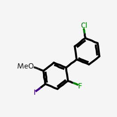 COc1cc(-c2cccc(Cl)c2)c(F)cc1I